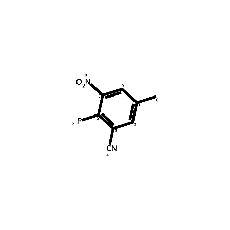 Cc1cc(C#N)c(F)c([N+](=O)[O-])c1